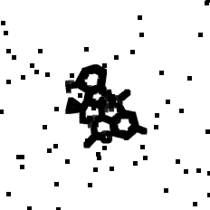 COc1cc(C)ccc1C1c2[nH]c3cccc(F)c3c2C2(CC2)CN1C(C)=O